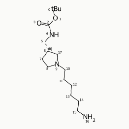 CC(C)(C)OC(=O)NC[C@H]1CCN(CCCCCCN)C1